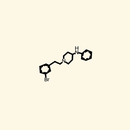 Brc1cccc(CCN2CCC(Nc3ccccc3)CC2)c1